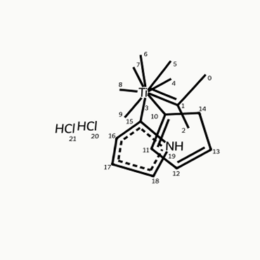 C[C](C)=[Ti]([CH3])([CH3])([CH3])([CH3])([CH3])([CH3])([C]1=CC=CC1)[c]1ccc[nH]1.Cl.Cl